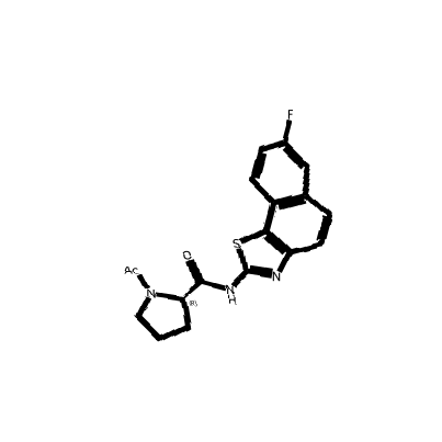 CC(=O)N1CCC[C@@H]1C(=O)Nc1nc2ccc3cc(F)ccc3c2s1